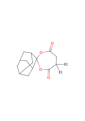 CCC1(CC)CC(=O)OC2(OC1=O)C1CC3CC(C1)CC2C3